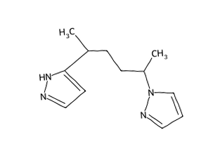 CC(CCC(C)n1cccn1)c1ccn[nH]1